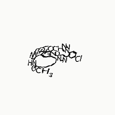 C[C@@H]1CCC[C@H](n2cnc(-c3cc(Cl)ccc3-n3cc(Cl)nn3)cc2=O)c2cc(c3c(n2)OCCO3)-c2c(cnn2C)NC1=O